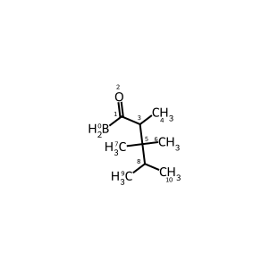 BC(=O)C(C)C(C)(C)C(C)C